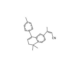 C/C(=C/C#N)c1ccc2c(c1)C(c1ccc(C)cc1)=CCC2(C)C